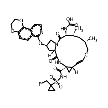 C[C@@H]1CC/C=C\[C@@H]2C[C@@]2(C(=O)NS(=O)(=O)C2(CF)CC2)NC(=O)[C@@H]2C[C@@H](Oc3nccc4c5c(ccc34)OCCO5)CN2C(=O)[C@@H](NC(=O)O)[C@H](C)C1